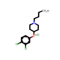 Cl.O=C(O)CCCN1CCC(Oc2ccc(Cl)c(Cl)c2)CC1